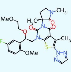 COCCO[C@@H](Cn1c(=O)n([C@]2(C)CCN(C)C2=O)c(=O)c2c(C)c(-n3nccn3)sc21)c1cc(F)ccc1OC